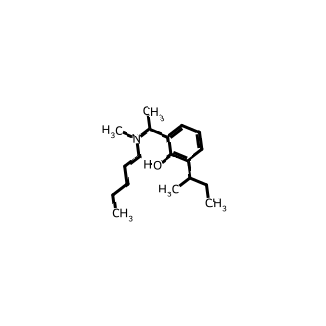 CCCCCN(C)C(C)c1cccc(C(C)CC)c1O